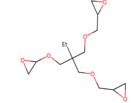 CCC(COCC1CO1)(COCC1CO1)COC1CO1